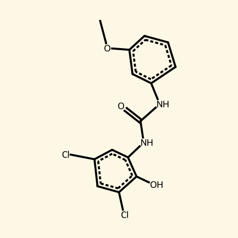 COc1cccc(NC(=O)Nc2cc(Cl)cc(Cl)c2O)c1